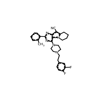 Cc1ccccc1-c1nc(N2CCN(CCc3ccc(F)c(F)c3)CC2)c2c(n1)c(C#N)c1n2CCCC1